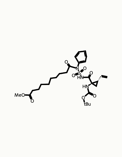 C=C[C@@H]1C[C@]1(NC(=O)OC(C)(C)C)C(=O)NS(=O)(=O)N(C(=O)CCCCCCCCC(=O)OC)c1ccccc1